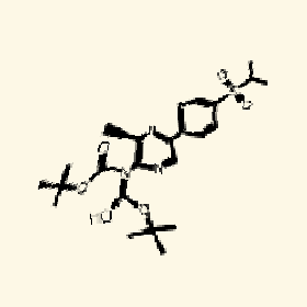 C#Cc1nc(-c2ccc(S(=O)(=O)C(C)C)cc2)cnc1N(C(=O)OC(C)(C)C)C(O)OC(C)(C)C